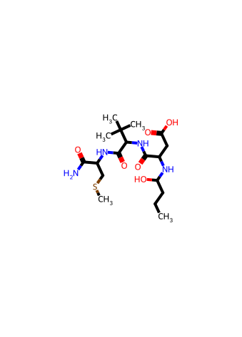 CCCC(O)NC(CC(=O)O)C(=O)NC(C(=O)NC(CSC)C(N)=O)C(C)(C)C